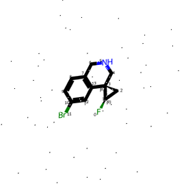 F[C@@H]1C[C@@]12CNCc1ccc(Br)cc12